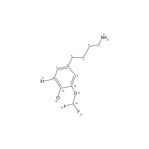 CCc1cc(CCCCN)cc(OC(F)F)c1Cl